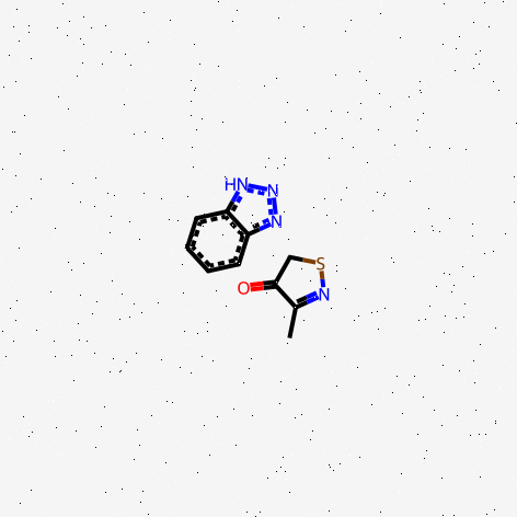 CC1=NSCC1=O.c1ccc2[nH]nnc2c1